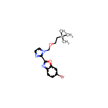 C[Si](C)(C)CCOCn1ccnc1-c1nc2ccc(Br)cc2o1